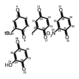 CC(C)(C)C1=CC(=O)C=CC1=O.CC1=CC(=O)C=CC1=O.O=C1C=CC(=O)C(O)=C1.O=C1C=CC(=O)C([N+](=O)[O-])=C1